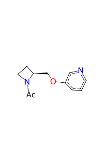 CC(=O)N1CC[C@H]1COc1cccnc1